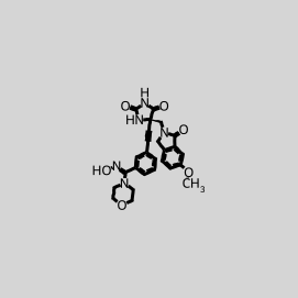 COc1ccc2c(c1)C(=O)N(C[C@@]1(C#Cc3cccc(C(=NO)N4CCOCC4)c3)NC(=O)NC1=O)C2